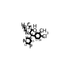 C=C=C(O)[C@@H](N=[N+]=[N-])[C@H](c1cncc(F)c1)c1ccc(Cl)c(C)c1